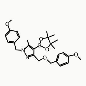 COc1ccc(COCc2nn(Cc3ccc(OC)cc3)c(C)c2B2OC(C)(C)C(C)(C)O2)cc1